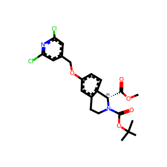 COC(=O)[C@H]1c2ccc(OCc3cc(Cl)nc(Cl)c3)cc2CCN1C(=O)OC(C)(C)C